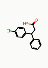 O=C(S)CC(c1ccccc1)c1ccc(Cl)cc1